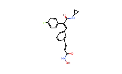 O=C(/C=C/c1cccc(/C=C(/C(=O)NC2CC2)c2ccc(F)cc2)c1)NO